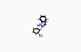 CC[C@@H]1CCC[C@H](Cn2ncc3ccccc32)C1